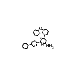 Nc1nc(-c2ccc(-c3ccccc3)cc2)nc(C2C=CC=C3OC4=CC=CCC4C32)n1